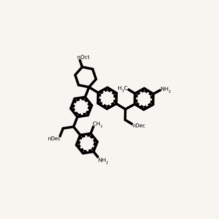 CCCCCCCCCCCC(c1ccc(C2(c3ccc(C(CCCCCCCCCCC)c4ccc(N)cc4C)cc3)CCC(CCCCCCCC)CC2)cc1)c1ccc(N)cc1C